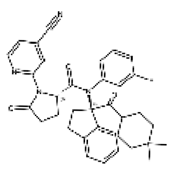 CC1(C)CCC(C(=O)[C@@]2(N(C(=O)[C@@H]3CCC(=O)N3c3cc(C#N)ccn3)c3cccc(F)c3)CCc3ccccc32)CC1